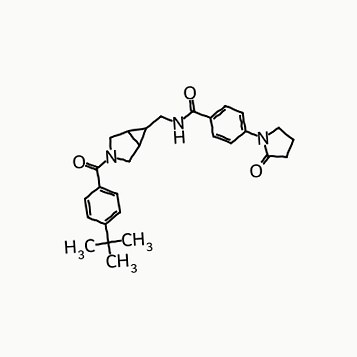 CC(C)(C)c1ccc(C(=O)N2CC3C(CNC(=O)c4ccc(N5CCCC5=O)cc4)C3C2)cc1